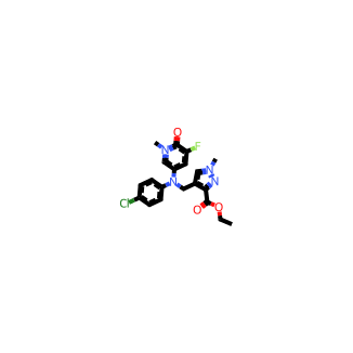 CCOC(=O)c1nn(C)cc1CN(c1ccc(Cl)cc1)c1cc(F)c(=O)n(C)c1